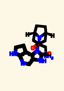 NCC(=O)N1[C@@H]2CC[C@H]1C[C@H](n1c(=O)[nH]c3cnc4[nH]ccc4c31)C2